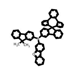 CC1(C)c2ccccc2-c2ccc(N(c3ccc4c(c3)-c3ccccc3C43c4ccccc4-c4ccccc4-c4ccccc43)c3ccc4c(c3)oc3ccccc34)cc21